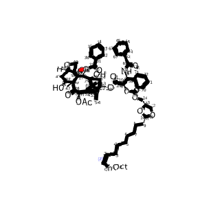 CCCCCCCC/C=C\CCCCCCC[C@H]1OC[C@@H](COC(=O)O[C@@H](C(=O)O[C@H]2C[C@@]3(O)[C@@H](OC(=O)c4ccccc4)[C@@H]4[C@]5(O)CO[C@@H]5C[C@H](O)[C@@]4(C)C(=O)[C@H](OC(C)=O)C(=C2C)C3(C)C)[C@@H](NC(=O)c2ccccc2)c2ccccc2)O1